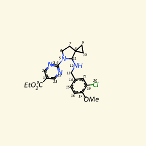 CCOC(=O)c1cnc(N2CCC3(CC3)C2NCc2ccc(OC)c(Cl)c2)nc1